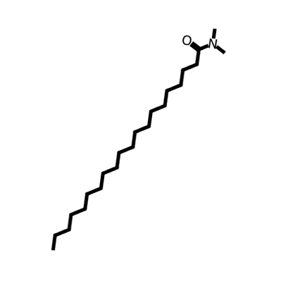 CCCCCCCCCCCCCCCCCCCC(=O)N(C)C